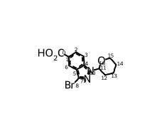 O=C(O)c1ccc2c(c1)c(Br)nn2C1CCCCO1